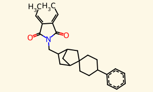 C/C=C1/C(=O)N(CC2CC3CC2CC32CCC(c3ccccc3)CC2)C(=O)/C1=C/C